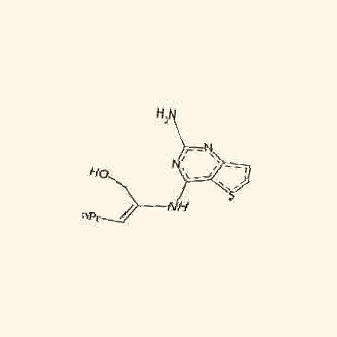 CCCC=C(CO)Nc1nc(N)nc2ccsc12